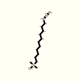 C[Si](C)(Cl)CCCCCCCCCCCN=[N+]=[N-]